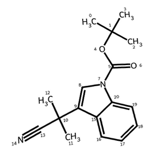 CC(C)(C)OC(=O)n1cc(C(C)(C)C#N)c2ccccc21